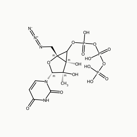 C[C@]1(O)[C@H](n2ccc(=O)[nH]c2=O)O[C@]2(CN=[N+]=[N-])C(OP(=O)(O)OP(=O)(O)OP(=O)(O)O)[C@@]12O